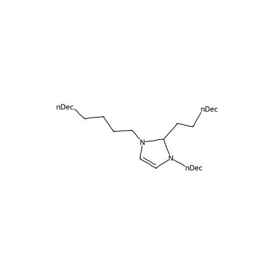 CCCCCCCCCCCCCCN1C=CN(CCCCCCCCCC)C1CCCCCCCCCCCC